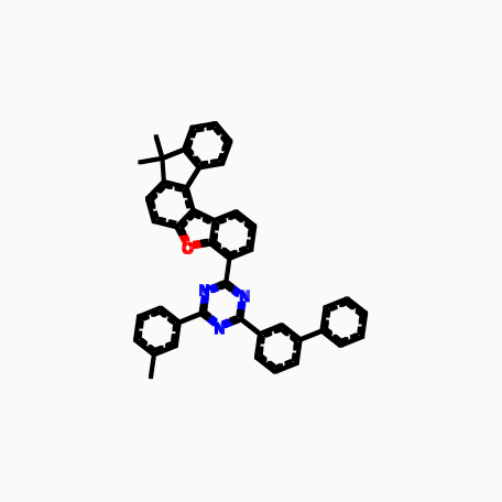 Cc1cccc(-c2nc(-c3cccc(-c4ccccc4)c3)nc(-c3cccc4c3oc3ccc5c(c34)-c3ccccc3C5(C)C)n2)c1